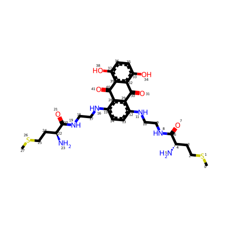 CSCC[C@H](N)C(=O)NCCNc1ccc(NCCNC(=O)[C@@H](N)CCSC)c2c1C(=O)c1c(O)ccc(O)c1C2=O